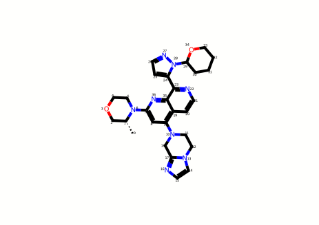 C[C@@H]1COCCN1c1cc(N2CCn3ccnc3C2)c2ccnc(-c3ccnn3C3CCCCO3)c2n1